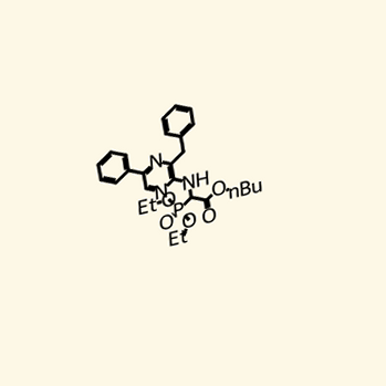 CCCCOC(=O)C(Nc1ncc(-c2ccccc2)nc1Cc1ccccc1)P(=O)(OCC)OCC